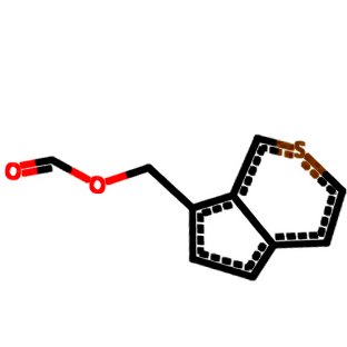 O=COCc1ccc2ccscc1-2